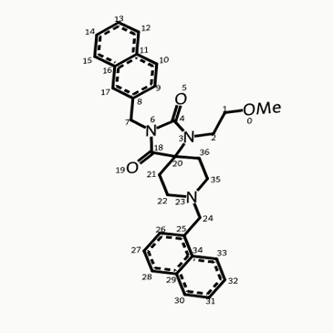 COCCN1C(=O)N(Cc2ccc3ccccc3c2)C(=O)C12CCN(Cc1cccc3ccccc13)CC2